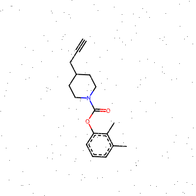 C#CCC1CCN(C(=O)Oc2cccc(C)c2C)CC1